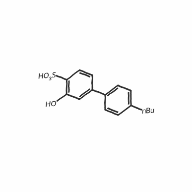 CCCCc1ccc(-c2ccc(S(=O)(=O)O)c(O)c2)cc1